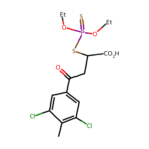 CCOP(=S)(OCC)SC(CC(=O)c1cc(Cl)c(C)c(Cl)c1)C(=O)O